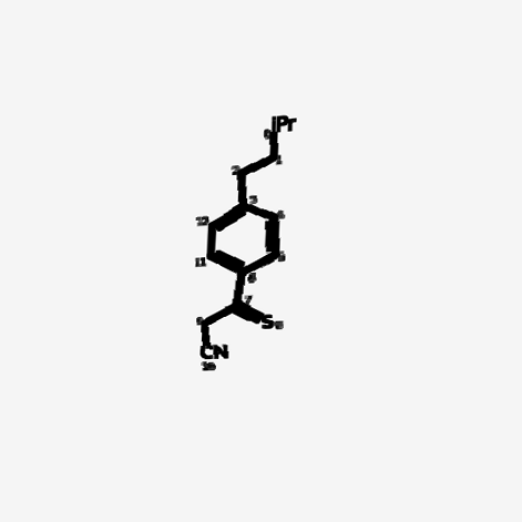 CC(C)CCc1ccc(C(=S)CC#N)cc1